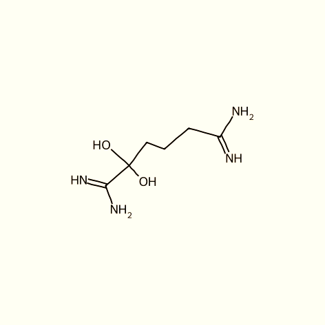 N=C(N)CCCC(O)(O)C(=N)N